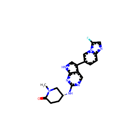 CN1C[C@H](Nc2ncc3c(-c4ccc5ncc(F)n5c4)c[nH]c3n2)CCC1=O